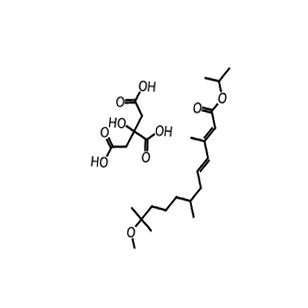 COC(C)(C)CCCC(C)C/C=C/C(C)=C/C(=O)OC(C)C.O=C(O)CC(O)(CC(=O)O)C(=O)O